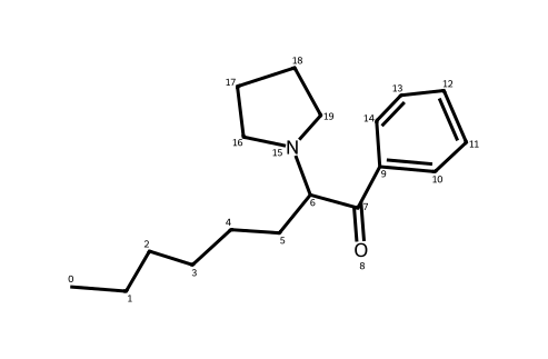 CCCCCCC(C(=O)c1ccccc1)N1CCCC1